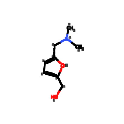 CN(C)Cc1ccc(CO)o1